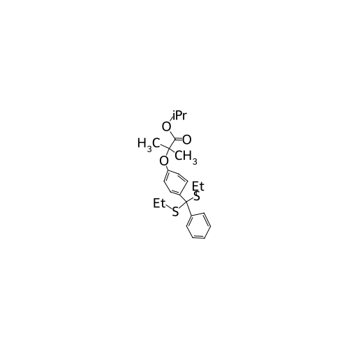 CCSC(SCC)(c1ccccc1)c1ccc(OC(C)(C)C(=O)OC(C)C)cc1